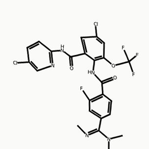 C/N=C(\c1ccc(C(=O)Nc2c(OC(F)(F)F)cc(Cl)cc2C(=O)Nc2ccc(Cl)cn2)c(F)c1)N(C)C